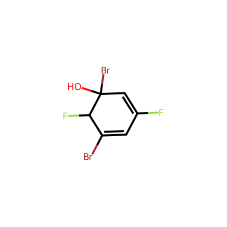 OC1(Br)C=C(F)C=C(Br)C1F